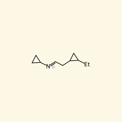 CCC1CC1C/C=N/C1CC1